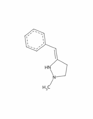 CN1CCC(=Cc2ccccc2)N1